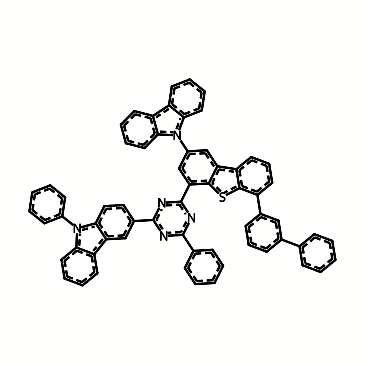 c1ccc(-c2cccc(-c3cccc4c3sc3c(-c5nc(-c6ccccc6)nc(-c6ccc7c(c6)c6ccccc6n7-c6ccccc6)n5)cc(-n5c6ccccc6c6ccccc65)cc34)c2)cc1